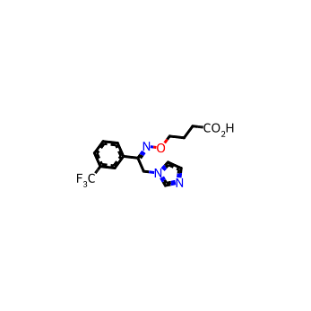 O=C(O)CCCON=C(Cn1ccnc1)c1cccc(C(F)(F)F)c1